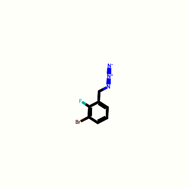 [N-]=[N+]=NCc1cccc(Br)c1F